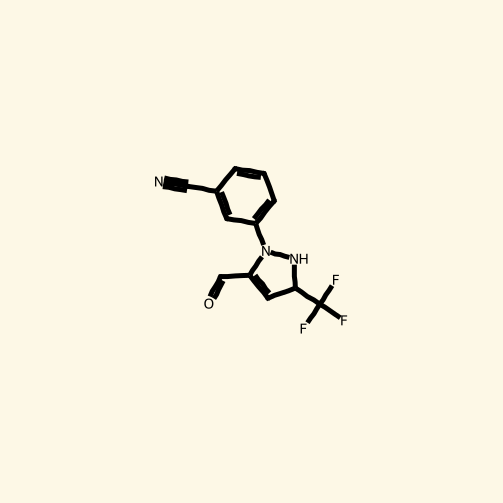 N#Cc1cccc(N2NC(C(F)(F)F)C=C2C=O)c1